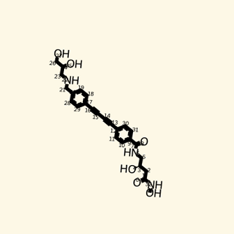 O=C(C[C@H](O)CNC(=O)c1ccc(C#CC#Cc2ccc(CNCC(O)CO)cc2)cc1)NO